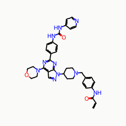 C=CC(=O)Nc1ccc(CN2CCC(n3ncc4c(N5CCOCC5)nc(-c5ccc(NC(=O)Nc6ccncc6)cc5)nc43)CC2)cc1